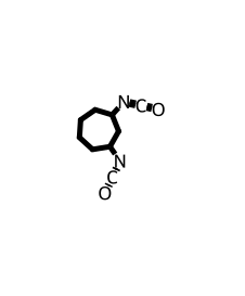 O=C=NC1CCCCC(N=C=O)C1